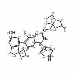 Oc1cc2c(c(-c3c(F)cc4c(N5CC6CCCC5CN6)nc(OCC56CCCN5CC(F)C6)nc4c3F)c1)C1(CCC1)CC2